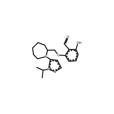 CC(C)n1nccc1N1CCCCCC1COc1cccc(O)c1C=O